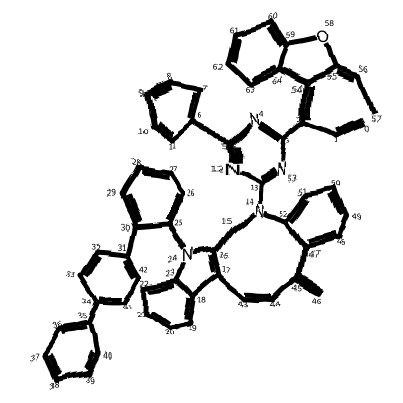 C=C/C(c1nc(-c2ccccc2)nc(N2Cc3c(c4ccccc4n3-c3ccccc3-c3ccc(-c4ccccc4)cc3)/C=C\C(=C)c3ccccc32)n1)=c1\c(=C/C)oc2ccccc12